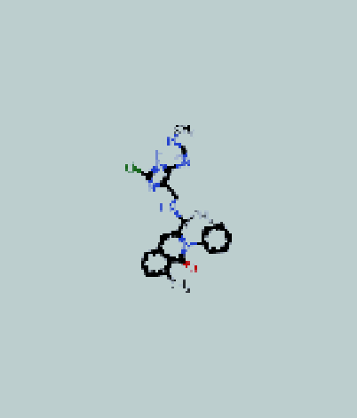 CN/C=N\c1[nH]c(Cl)nc1CN[C@@H](C)c1cc2cccc(C)c2c(=O)n1-c1ccccc1